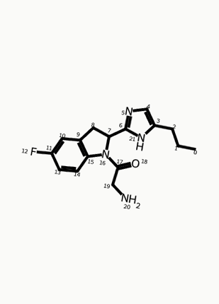 CCCc1cnc(C2Cc3cc(F)ccc3N2C(=O)CN)[nH]1